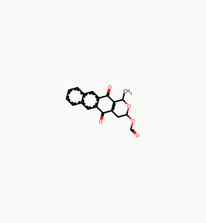 CC1OC(OC=O)CC2=C1C(=O)c1cc3ccccc3cc1C2=O